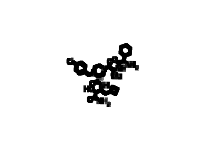 CC(C)(C)[C@H](NC(=O)[C@@H](N)C1CCCCC1)C(=O)N1CCN(Cc2ccc(Cl)cc2)[C@@H](C(=O)NC(CC2CCC2)C(O)C(N)=O)C1